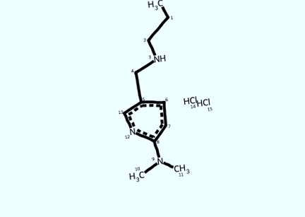 CCCNCc1ccc(N(C)C)nc1.Cl.Cl